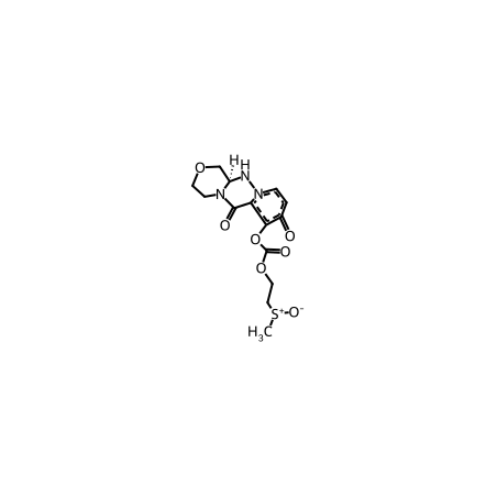 C[S+]([O-])CCOC(=O)Oc1c2n(ccc1=O)N[C@@H]1COCCN1C2=O